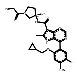 COc1cc(OCC2CC2)c(-c2ncnc3c(C(=O)N[C@@]4(O)CCN(C(=O)CO)C4)c(C)[nH]c23)cc1F